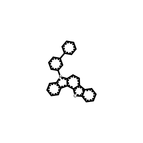 c1ccc(-c2cccc(-n3c4ccccc4c4c5oc6ccccc6c5ccc43)c2)cc1